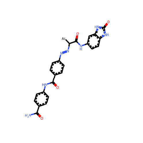 CC(=O)C(N=Nc1ccc(C(=O)Nc2ccc(C(N)=O)cc2)cc1)C(=O)Nc1ccc2[nH]c(=O)[nH]c2c1